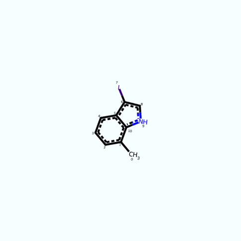 Cc1cccc2c(I)c[nH]c12